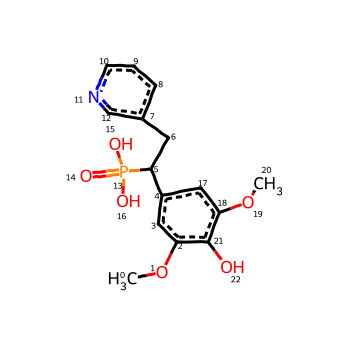 COc1cc(C(Cc2cccnc2)P(=O)(O)O)cc(OC)c1O